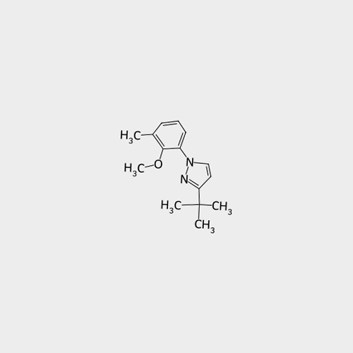 COc1c(C)cccc1-n1ccc(C(C)(C)C)n1